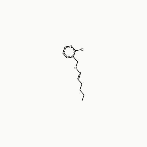 CCCCC=NOCc1ccccc1Cl